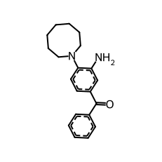 Nc1cc(C(=O)c2ccccc2)ccc1N1CCCCCCC1